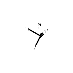 O=C(I)I.[Pt]